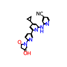 N#Cc1ccnc(Nc2cc(C3CC3)cc(-c3ccc(N4C[C@H](O)CC4=O)nc3)n2)c1